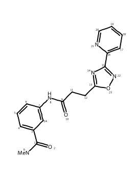 CNC(=O)c1cccc(NC(=O)CCc2nc(-c3ccccn3)no2)c1